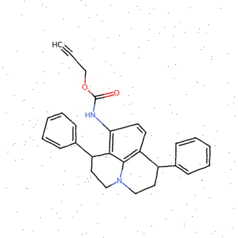 C#CCOC(=O)Nc1ccc2c3c1C(c1ccccc1)CCN3CCC2c1ccccc1